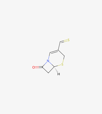 O=C1C[C@@H]2SCC(C=S)=CN12